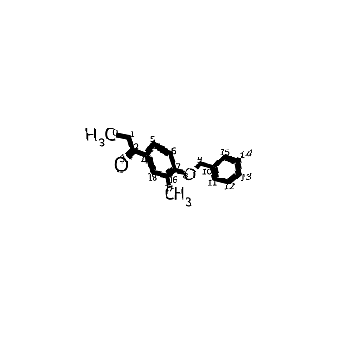 CCC(=O)c1ccc(OCc2ccccc2)c(C)c1